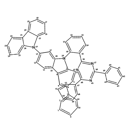 c1ccc(-c2ccc3c(c2)c2ccc(-n4c5ccccc5c5ccccc54)cc2n3-c2ccccc2-c2nc(-c3ccccc3)nc(-c3ccccc3)n2)cc1